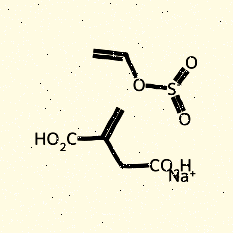 C=C(CC(=O)O)C(=O)O.C=CO[S-](=O)=O.[Na+]